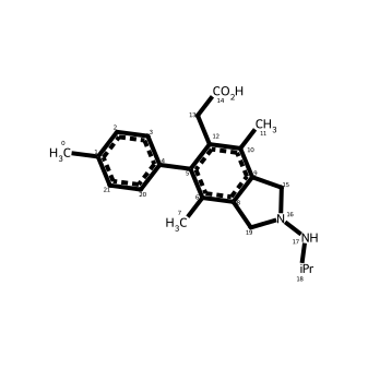 Cc1ccc(-c2c(C)c3c(c(C)c2CC(=O)O)CN(NC(C)C)C3)cc1